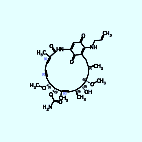 C=CCNC1=C2C[C@@H](C)C[C@H](OC)[C@H](O)[C@@H](C)/C=C(/C)[C@H](OC(N)=O)[C@H](OC)/C=C\C=C(\C)C(=O)NC(=CC1=O)C2=O